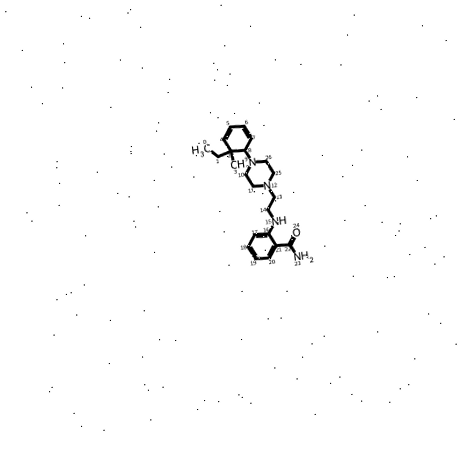 CCC1(C)C=CC=CC1N1CCN(CCNc2ccccc2C(N)=O)CC1